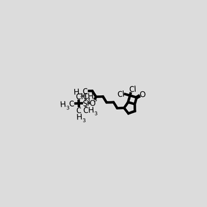 CCC(CCCCC1CCC2C(=O)C(Cl)(Cl)C12)O[Si](C)(C)C(C)(C)C